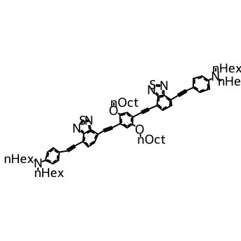 CCCCCCCCOc1cc(C#Cc2ccc(C#Cc3ccc(N(CCCCCC)CCCCCC)cc3)c3nsnc23)c(OCCCCCCCC)cc1C#Cc1ccc(C#Cc2ccc(N(CCCCCC)CCCCCC)cc2)c2nsnc12